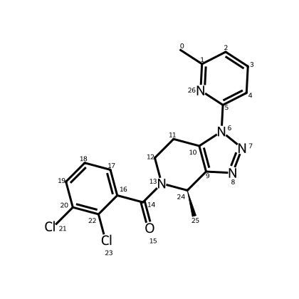 Cc1cccc(-n2nnc3c2CCN(C(=O)c2cccc(Cl)c2Cl)[C@@H]3C)n1